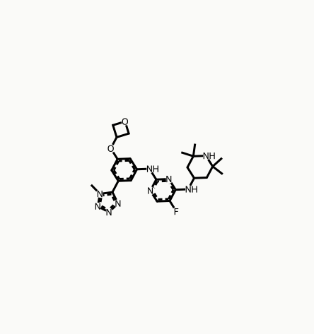 Cn1nnnc1-c1cc(Nc2ncc(F)c(NC3CC(C)(C)NC(C)(C)C3)n2)cc(OC2COC2)c1